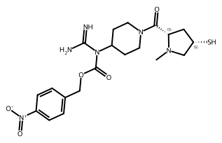 CN1C[C@@H](S)C[C@H]1C(=O)N1CCC(N(C(=N)N)C(=O)OCc2ccc([N+](=O)[O-])cc2)CC1